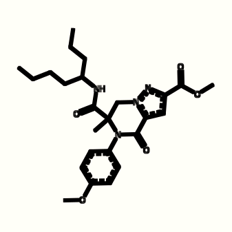 CCCCC(CCC)NC(=O)C1(C)Cn2nc(C(=O)OC)cc2C(=O)N1c1ccc(OC)cc1